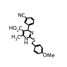 COc1ccc(CSC2=NC(c3cccc(C#N)c3)C(C(=O)O)=C(C)N2)cc1